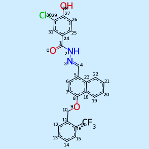 O=C(N/N=C/c1ccc(OCc2ccccc2C(F)(F)F)c2ccccc12)c1ccc(O)c(Cl)c1